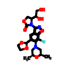 C[C@@H]1CN(c2c(C3OCCO3)cc3c(N4C(=O)OCC4[C@H](O)CO)noc3c2F)C[C@@H](C)O1